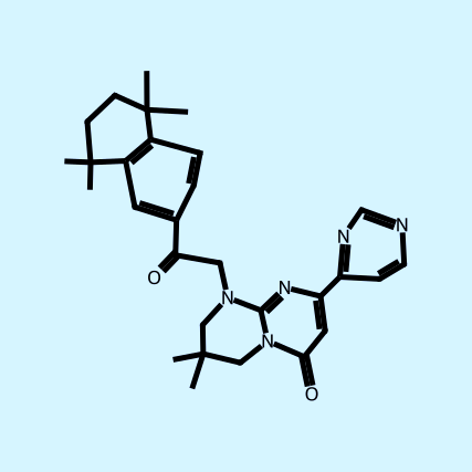 CC1(C)CN(CC(=O)c2ccc3c(c2)C(C)(C)CCC3(C)C)c2nc(-c3ccncn3)cc(=O)n2C1